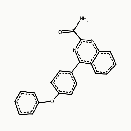 NC(=O)c1nc(-c2ccc(Oc3ccccc3)cc2)c2ccccc2n1